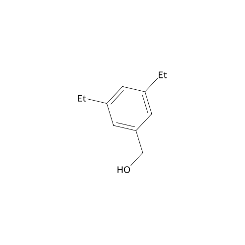 CCc1cc(CC)cc(CO)c1